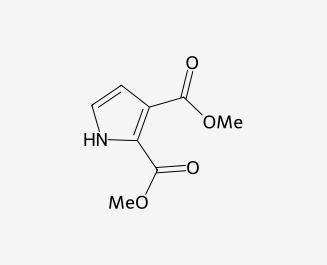 COC(=O)c1cc[nH]c1C(=O)OC